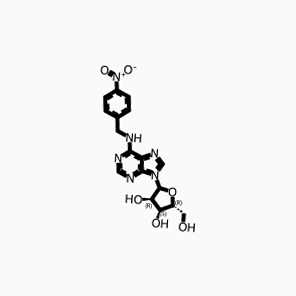 O=[N+]([O-])c1ccc(CNc2ncnc3c2ncn3C2O[C@H](CO)[C@@H](O)[C@H]2O)cc1